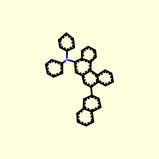 c1ccc(N(c2ccccc2)c2cc3cc(-c4ccc5ccccc5c4)c4ccccc4c3c3ccccc23)cc1